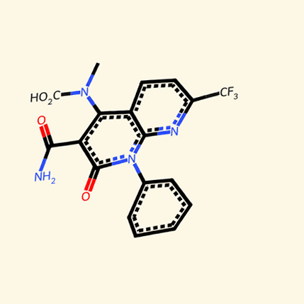 CN(C(=O)O)c1c(C(N)=O)c(=O)n(-c2ccccc2)c2nc(C(F)(F)F)ccc12